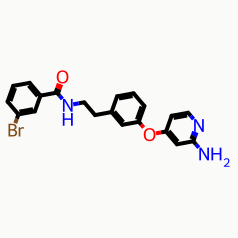 Nc1cc(Oc2cccc(CCNC(=O)c3cccc(Br)c3)c2)ccn1